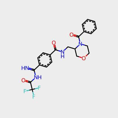 N=C(NC(=O)C(F)(F)F)c1ccc(C(=O)NCC2COCCN2C(=O)c2ccccc2)cc1